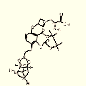 CC(C)(C)OC(=O)Oc1c(CCB2O[C@@H]3C[C@@H]4C[C@@H](C4(C)C)[C@]3(C)O2)ccc(OC2CN(C[C@H](N)C(=O)O)C2)c1C(=O)OC(C)(C)C